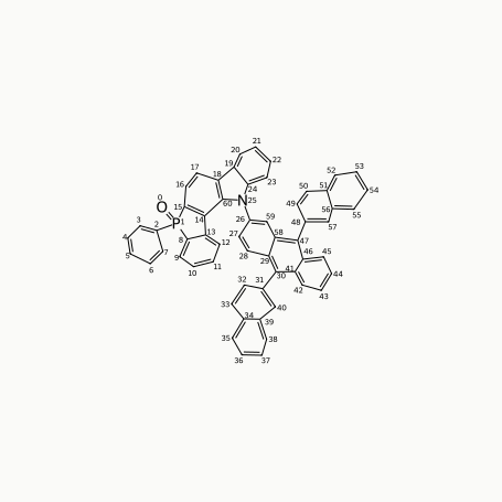 O=P1(c2ccccc2)c2ccccc2-c2c1ccc1c3ccccc3n(-c3ccc4c(-c5ccc6ccccc6c5)c5ccccc5c(-c5ccc6ccccc6c5)c4c3)c21